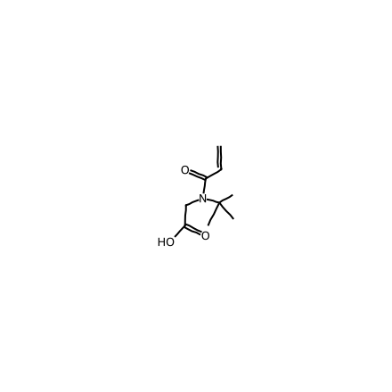 C=CC(=O)N(CC(=O)O)C(C)(C)C